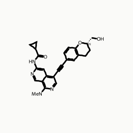 CNc1ncc(C#Cc2ccc3c(c2)CC[C@@H](CO)O3)c2cc(NC(=O)C3CC3)ncc12